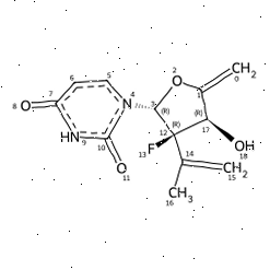 C=C1O[C@@H](n2ccc(=O)[nH]c2=O)[C@@](F)(C(=C)C)[C@@H]1O